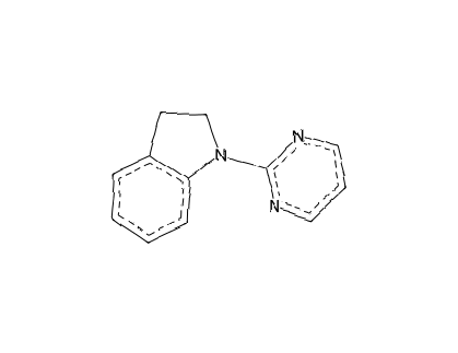 c1cnc(N2CCc3ccccc32)nc1